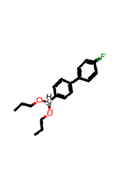 CCCO[SiH](OCCC)c1ccc(-c2ccc(F)cc2)cc1